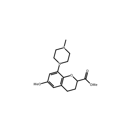 COC(=O)C1CCc2cc(OC)cc(N3CCN(C)CC3)c2O1